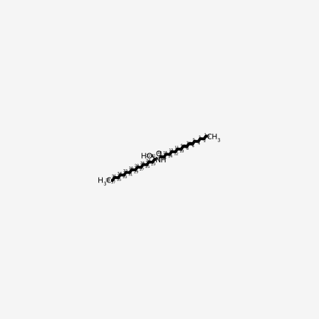 CCCCCC/C=C/C=C/CCCCCCCC(=O)N[C@@H](CO)CCCCCCCCCCCCCCCC